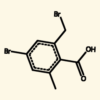 Cc1cc(Br)cc(CBr)c1C(=O)O